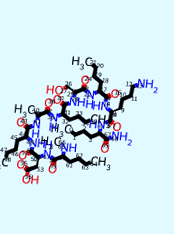 CCCCC(NC(=O)[C@H](CCCCN)NC(=O)C(CCCC)NC(=O)[C@H](CO)NC(=O)C(CCCC)NC(=O)[C@H](C)NC(=O)C(CCCC)NC(=O)[C@H](CC(=O)O)NC(=O)C(CCCC)NC)C(N)=O